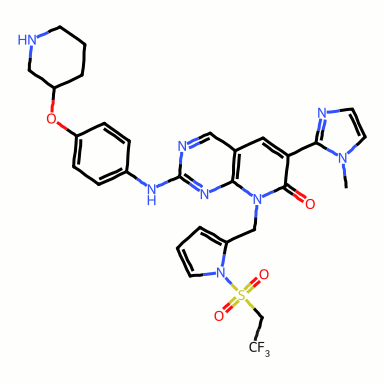 Cn1ccnc1-c1cc2cnc(Nc3ccc(OC4CCCNC4)cc3)nc2n(Cc2cccn2S(=O)(=O)CC(F)(F)F)c1=O